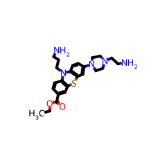 CCOC(=O)c1ccc2c(c1)Sc1cc(N3CCN(CCN)CC3)ccc1N2CCCN